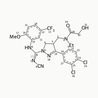 CCN(CC1CN(/C(=N\C#N)Nc2cc(C(F)(F)F)ccc2OC)N=C1c1ccc(Cl)c(Cl)c1)C(=O)CO